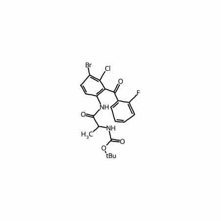 CC(NC(=O)OC(C)(C)C)C(=O)Nc1ccc(Br)c(Cl)c1C(=O)c1ccccc1F